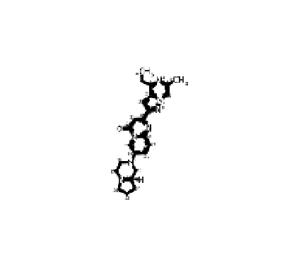 CCc1nc(C)cn2nc(-c3cc(=O)n4cc(N5CCN6CCC[C@H]6C5)ccc4n3)cc12